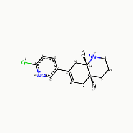 Clc1ccc(C2=CC[C@H]3CCCN[C@H]3C2)cn1